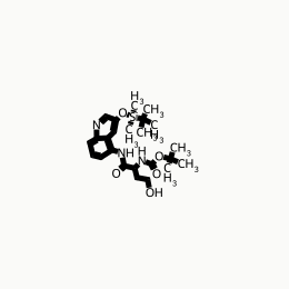 CC(C)(C)OC(=O)NC(CCO)C(=O)Nc1cccc2ncc(O[Si](C)(C)C(C)(C)C)cc12